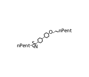 CCCCCC=CCOc1ccc(-c2ccc(-c3ncc(CCCCC)s3)cc2)cc1